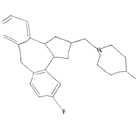 CC1CCN(CC2CC3c4ccccc4Cc4ccc(F)cc4C3C2)CC1